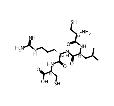 CC(C)C[C@H](NC(=O)[C@@H](N)CS)C(=O)N[C@@H](CCCNC(=N)N)C(=O)N[C@@H](CS)C(=O)O